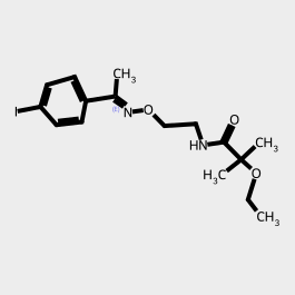 CCOC(C)(C)C(=O)NCCO/N=C(\C)c1ccc(I)cc1